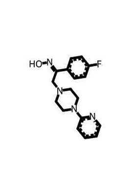 O/N=C(\CN1CCN(c2ccccn2)CC1)c1ccc(F)cc1